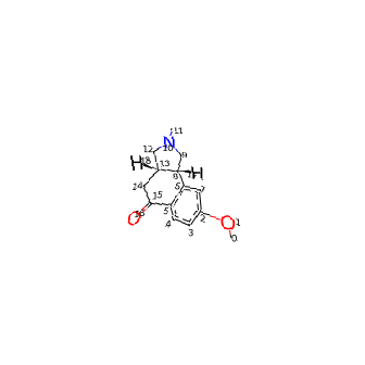 COc1ccc2c(c1)[C@H]1CN(C)C[C@H]1CC2=O